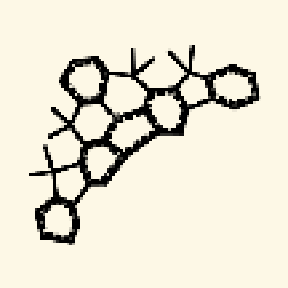 CC1(C)c2ccccc2-c2cc3c4cc5c(c6c4n4c3c(c21)C(C)(C)c1cccc(c1-4)C6(C)C)C(C)(C)c1ccccc1-5